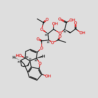 CC(=O)O[C@@H](C(=O)OC1=CC[C@@]2(O)[C@@H]3CCC[C@@]24c2c(ccc(O)c2O[C@@H]14)C3)[C@@H](OC(C)=O)C(O)O[C@H](CC(=O)O)C(=O)O